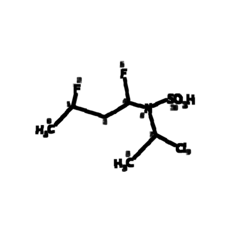 CC(F)CC(F)N(C(C)Cl)S(=O)(=O)O